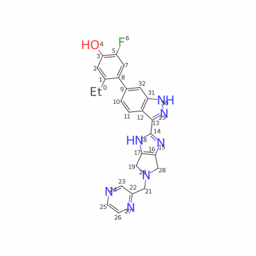 CCc1cc(O)c(F)cc1-c1ccc2c(-c3nc4c([nH]3)CN(Cc3cnccn3)C4)n[nH]c2c1